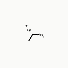 CCN.F.F